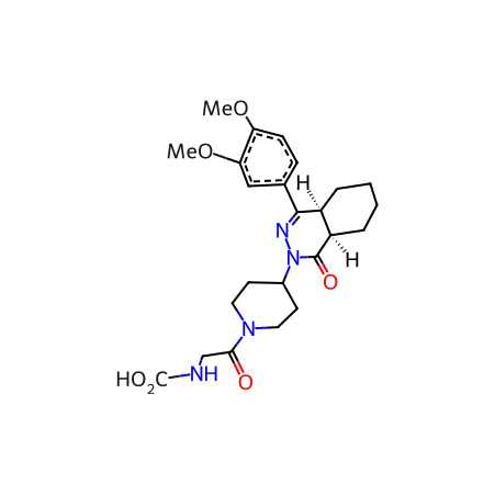 COc1ccc(C2=NN(C3CCN(C(=O)CNC(=O)O)CC3)C(=O)[C@@H]3CCCC[C@H]23)cc1OC